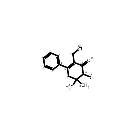 CC1(C)CC(c2ccccc2)=C(CCl)C(=O)C1Cl